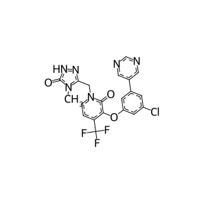 Cn1c(Cn2ccc(C(F)(F)F)c(Oc3cc(Cl)cc(-c4cncnc4)c3)c2=O)n[nH]c1=O